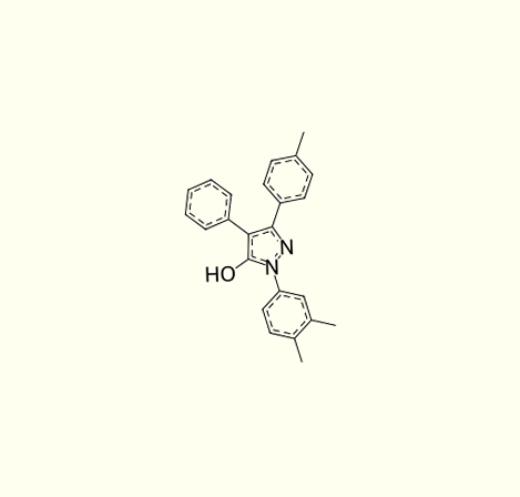 Cc1ccc(-c2nn(-c3ccc(C)c(C)c3)c(O)c2-c2ccccc2)cc1